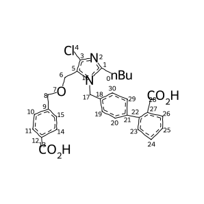 CCCCc1nc(Cl)c(COCc2ccc(C(=O)O)cc2)n1Cc1ccc(-c2ccccc2C(=O)O)cc1